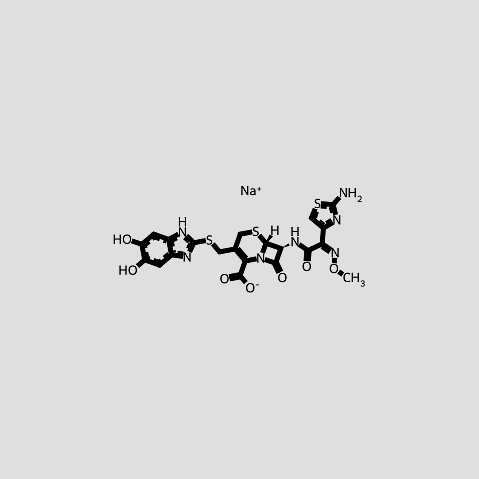 CO/N=C(\C(=O)N[C@@H]1C(=O)N2C(C(=O)[O-])=C(CSc3nc4cc(O)c(O)cc4[nH]3)CS[C@H]12)c1csc(N)n1.[Na+]